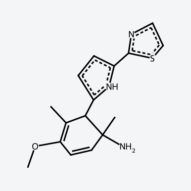 COC1=C(C)C(c2ccc(-c3nccs3)[nH]2)C(C)(N)C=C1